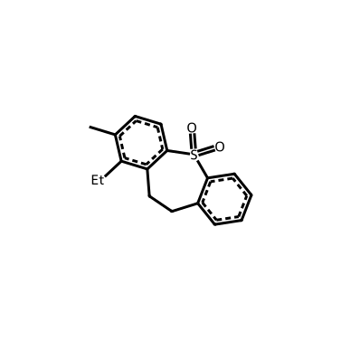 CCc1c(C)ccc2c1CCc1ccccc1S2(=O)=O